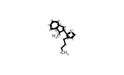 CCCCc1ccsc1C1=Cc2ccccc2[C]1C